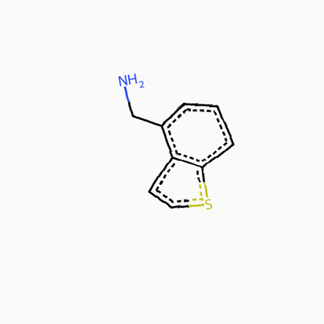 NCc1cccc2sccc12